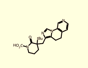 CC(C)(C)C1(Cc2ncn3c2CCc2ccncc2-3)CCCN(C(=O)O)C1=O